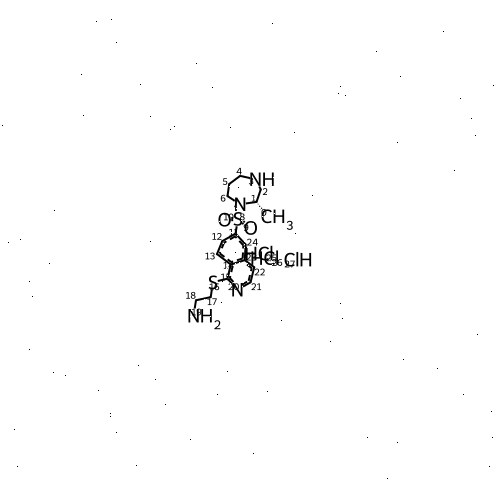 C[C@H]1CNCCCN1S(=O)(=O)c1ccc2c(SCCN)nccc2c1.Cl.Cl.Cl